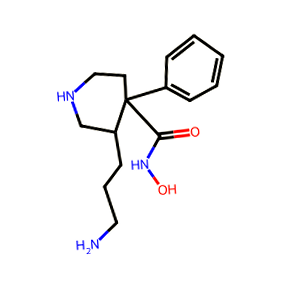 NCCCC1CNCCC1(C(=O)NO)c1ccccc1